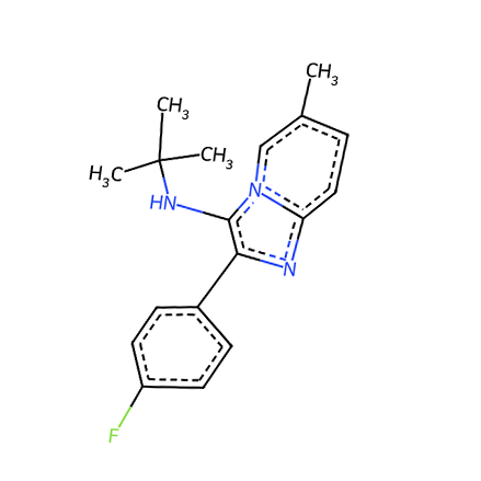 Cc1ccc2nc(-c3ccc(F)cc3)c(NC(C)(C)C)n2c1